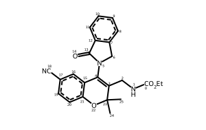 CCOC(=O)NCC1=C(N2Cc3ccccc3C2=O)c2cc(C#N)ccc2OC1(C)C